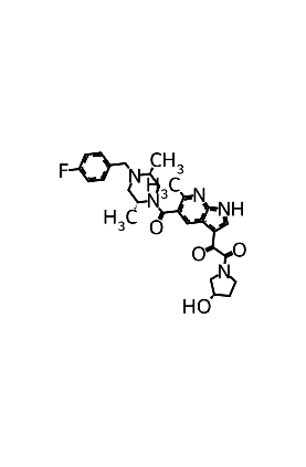 Cc1nc2[nH]cc(C(=O)C(=O)N3CC[C@@H](O)C3)c2cc1C(=O)N1C[C@H](C)N(Cc2ccc(F)cc2)C[C@H]1C